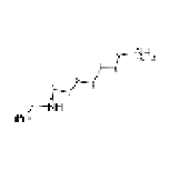 CC(C)CNCCCCCCCN